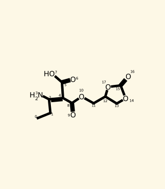 CC/C(N)=C(/C(=O)O)C(=O)OCC1COC(=O)O1